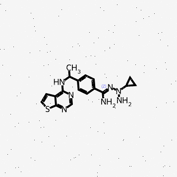 CC(Nc1ncnc2sccc12)c1ccc(/C(N)=N/N(N)C2CC2)cc1